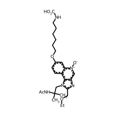 CCOCc1nc2c[n+]([O-])c3cc(OCCCCCCNC(=O)O)ccc3c2n1CC(C)(C)NC(C)=O